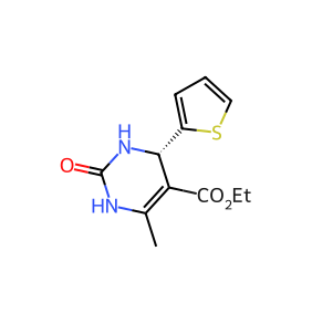 CCOC(=O)C1=C(C)NC(=O)N[C@@H]1c1cccs1